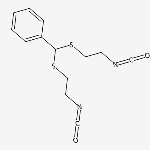 O=C=NCCSC(SCCN=C=O)c1ccccc1